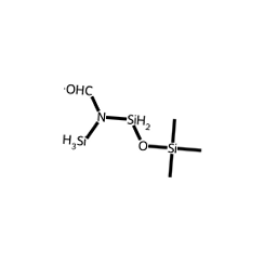 C[Si](C)(C)O[SiH2]N([SiH3])[C]=O